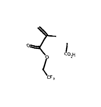 C=C(C)C(=O)OCC(F)(F)F.CC(=O)O